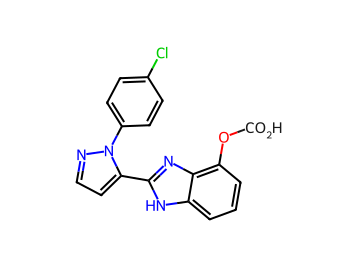 O=C(O)Oc1cccc2[nH]c(-c3ccnn3-c3ccc(Cl)cc3)nc12